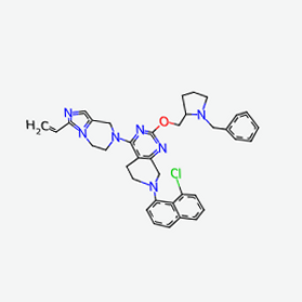 C=Cc1ncc2n1CCN(c1nc(OCC3CCCN3Cc3ccccc3)nc3c1CCN(c1cccc4cccc(Cl)c14)C3)C2